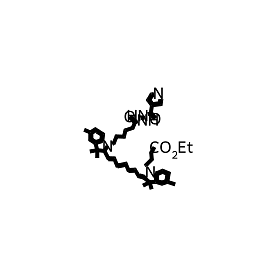 CCOC(=O)CCCN1C(=CC=CC=CC=CC2N(CCCCCC(=O)NNC(=O)c3ccncc3)c3ccc(C)cc3C2(C)C)C(C)(C)c2cc(C)ccc21